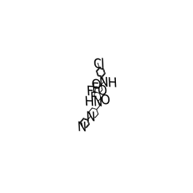 O=C(Nc1ccc(Cl)cc1)OC(C(=O)NCC1CCN(c2ccncc2)CC1)C(F)(F)F